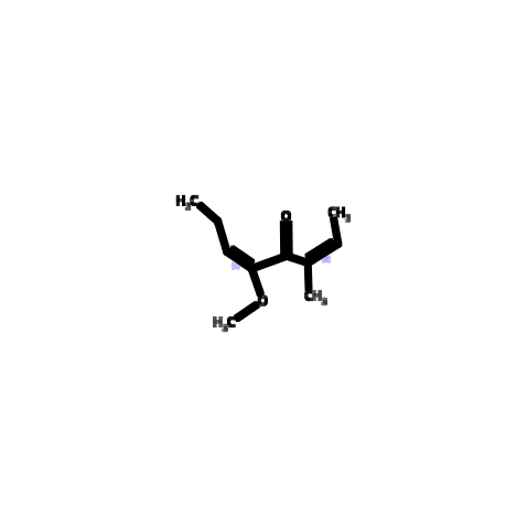 C/C=C(/C)C(=O)/C(=C\CC)OC